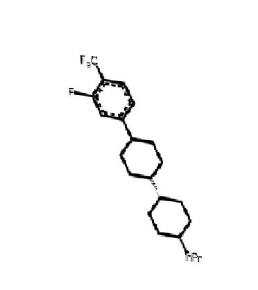 CCC[C@H]1CC[C@H](C2CCC(c3ccc(C(F)(F)F)c(F)c3)CC2)CC1